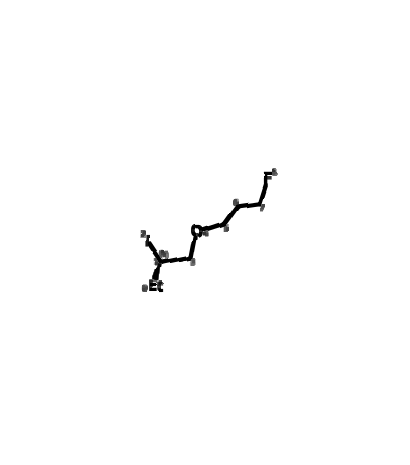 CC[C@@H](I)COCCCF